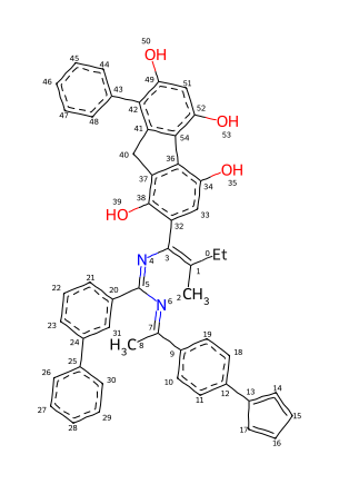 CC/C(C)=C(/N=C(\N=C(/C)c1ccc(C2=C=CC=C2)cc1)c1cccc(-c2ccccc2)c1)c1cc(O)c2c(c1O)Cc1c(-c3ccccc3)c(O)cc(O)c1-2